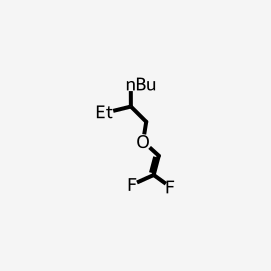 CCCCC(CC)COC=C(F)F